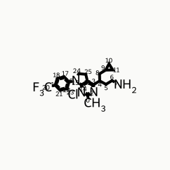 Cc1nc(C(CCN)CC2CC2)c2c(n1)N(c1ccc(C(F)(F)F)cc1Cl)CC2